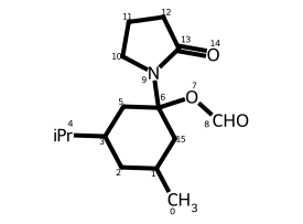 CC1CC(C(C)C)CC(OC=O)(N2CCCC2=O)C1